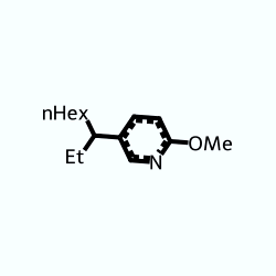 CCCCCCC(CC)c1ccc(OC)nc1